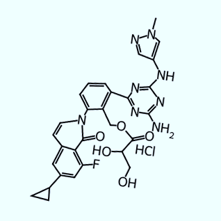 Cl.Cn1cc(Nc2nc(N)nc(-c3cccc(-n4ccc5cc(C6CC6)cc(F)c5c4=O)c3COC(=O)C(O)CO)n2)cn1